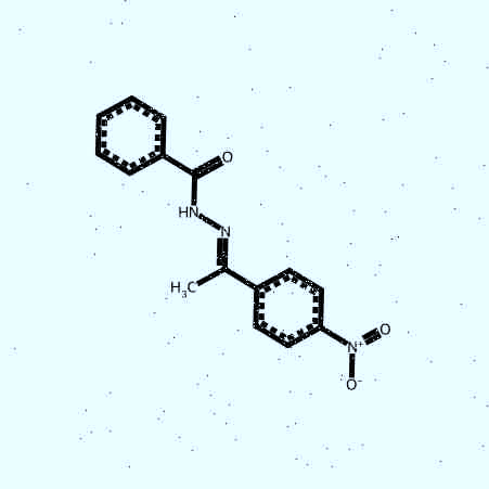 C/C(=N\NC(=O)c1ccccc1)c1ccc([N+](=O)[O-])cc1